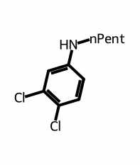 CCCCCNc1ccc(Cl)c(Cl)c1